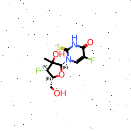 CC1(O)[C@@H](F)[C@@H](CO)O[C@H]1n1cc(F)c(=O)[nH]c1=S